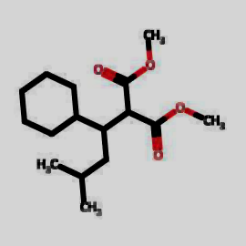 COC(=O)C(C(=O)OC)C(CC(C)C)C1CCCCC1